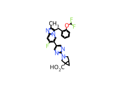 Cc1nc2cc(F)c(-c3cnc(N4CC5CC5(C(=O)O)C4)nc3)cn2c1Cc1ccccc1OC(F)F